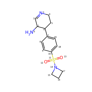 NC1C=NCCC1c1ccc(S(=O)(=O)N2CCC2)cc1